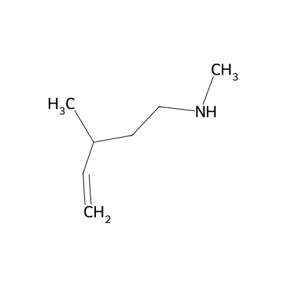 C=CC(C)CCNC